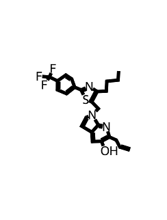 C=CCc1nc2c(ccn2Cc2sc(-c3ccc(C(F)(F)F)cc3)nc2CCCC)cc1O